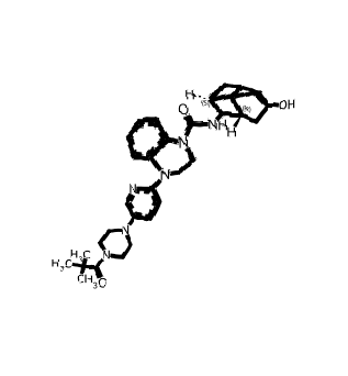 CC(C)(C)C(=O)N1CCN(c2ccc(N3CCN(C(=O)NC4[C@@H]5CC6C[C@H]4CC(O)(C6)C5)c4ccccc43)nc2)CC1